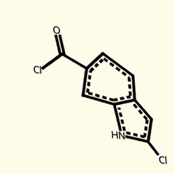 O=C(Cl)c1ccc2cc(Cl)[nH]c2c1